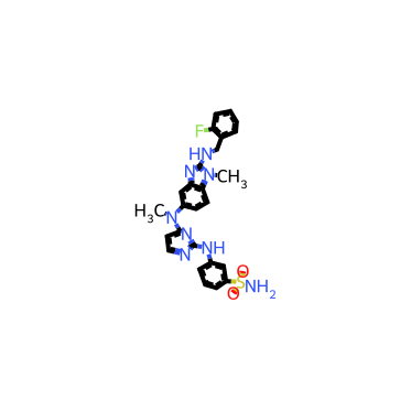 CN(c1ccc2c(c1)nc(NCc1ccccc1F)n2C)c1ccnc(Nc2cccc(S(N)(=O)=O)c2)n1